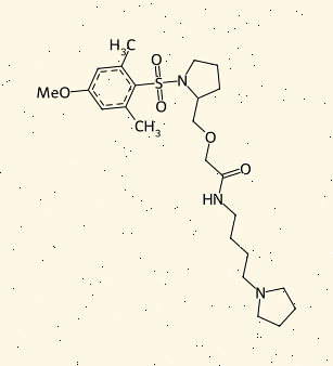 COc1cc(C)c(S(=O)(=O)N2CCCC2COCC(=O)NCCCCN2CCCC2)c(C)c1